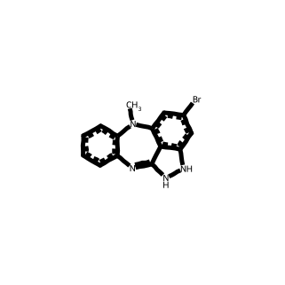 CN1c2ccccc2N=C2NNc3cc(Br)cc1c32